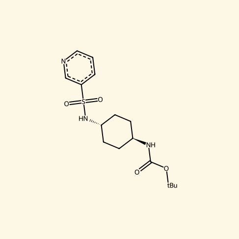 CC(C)(C)OC(=O)N[C@H]1CC[C@H](NS(=O)(=O)c2cccnc2)CC1